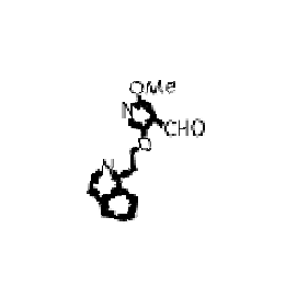 COc1cc(C=O)c(OCCc2nccc3ccccc23)cn1